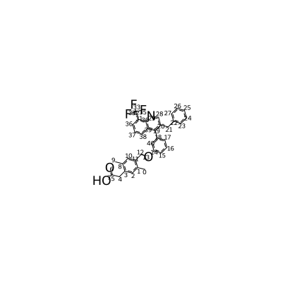 Cc1cc(CC(=O)O)c(C)cc1COc1cccc(-c2c(Cc3ccccc3)cnc3c(C(F)(F)F)cccc23)c1